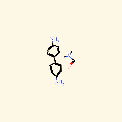 CN(C)C=O.Nc1ccc(-c2ccc(N)cc2)cc1